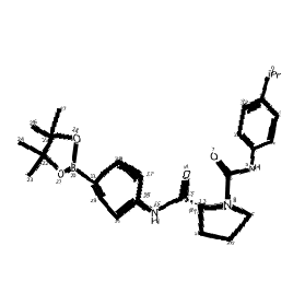 CC(C)c1ccc(NC(=O)N2CCC[C@@H]2C(=O)Nc2ccc(B3OC(C)(C)C(C)(C)O3)cc2)cc1